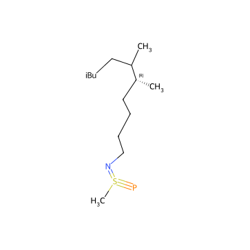 CCC(C)CC(C)[C@H](C)CCCCN=S(C)#P